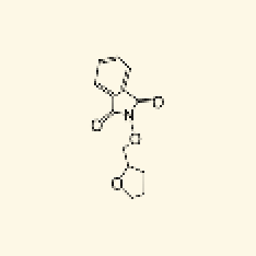 O=C1c2ccccc2C(=O)N1OCC1CCCO1